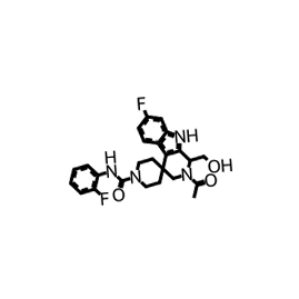 CC(=O)N1CC2(CCN(C(=O)Nc3ccccc3F)CC2)c2c([nH]c3cc(F)ccc23)C1CO